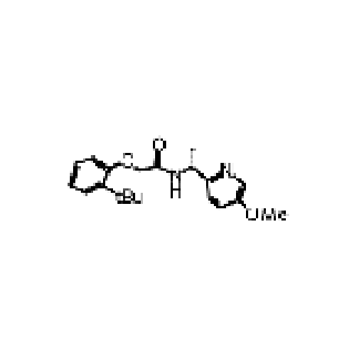 COc1ccc([C@@H](C)NC(=O)COc2ccccc2C(C)(C)C)nc1